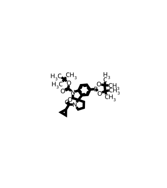 CC(C)(C)OC(=O)N1C(=O)C2(CCCN2C(=O)C2CC2)c2cc(B3OC(C)(C)C(C)(C)O3)ccc21